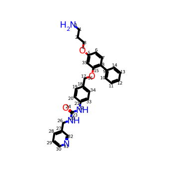 NCCCOc1ccc(-c2ccccc2)c(OCc2ccc(NC(=O)NCc3cccnc3)cc2)c1